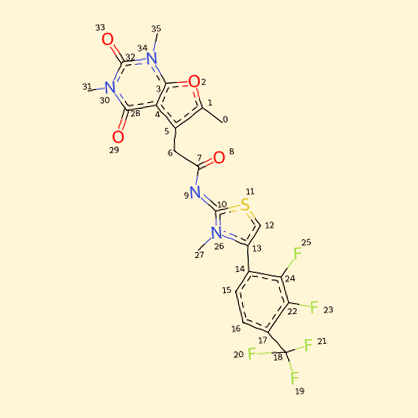 Cc1oc2c(c1CC(=O)N=c1scc(-c3ccc(C(F)(F)F)c(F)c3F)n1C)c(=O)n(C)c(=O)n2C